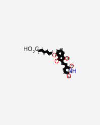 O=C(O)CCCCCCOc1cccc2c1C(=O)C(CCC1CCC(=O)NC1=O)C2=O